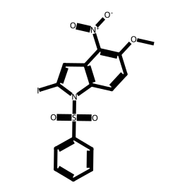 COc1ccc2c(cc(I)n2S(=O)(=O)c2ccccc2)c1[N+](=O)[O-]